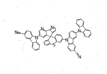 N#Cc1ccc2c(c1)c1ccccc1n2-c1cnc2c(c1)C1(c3ccccc3Sc3cc(-n4c5ccc(C#N)cc5c5cc(-n6c7ccccc7c7ccccc76)ccc54)ccc31)c1cccnc1-2